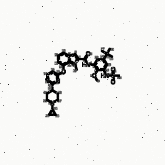 COc1c(NC(=O)c2cc3cccc(Oc4ccnc(C5CCN(C6CC6)CC5)n4)c3n2C)cc(C(C)(C)C)cc1NS(C)(=O)=O